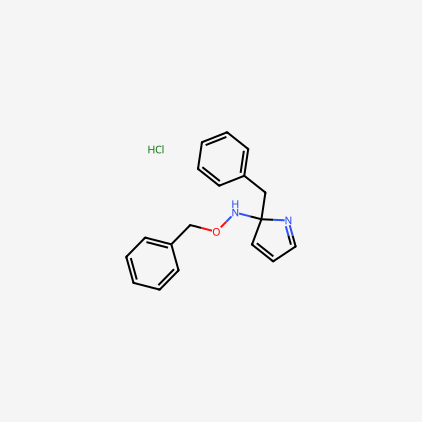 C1=CC(Cc2ccccc2)(NOCc2ccccc2)N=C1.Cl